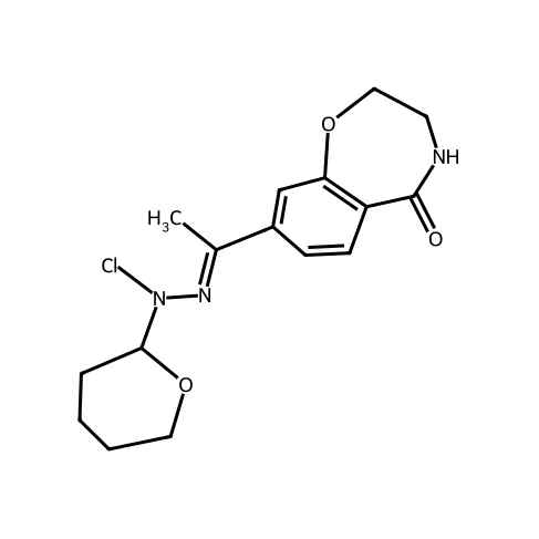 C/C(=N\N(Cl)C1CCCCO1)c1ccc2c(c1)OCCNC2=O